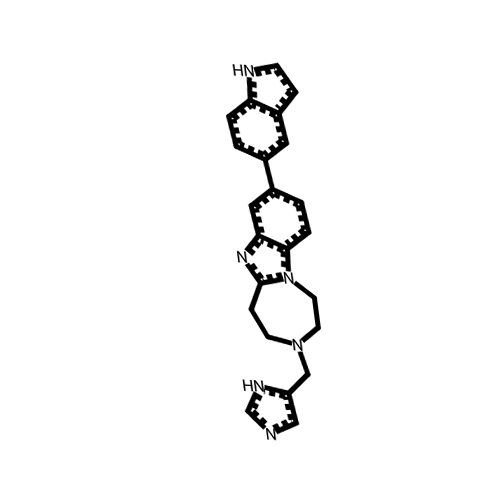 c1ncc(CN2CCc3nc4cc(-c5ccc6[nH]ccc6c5)ccc4n3CC2)[nH]1